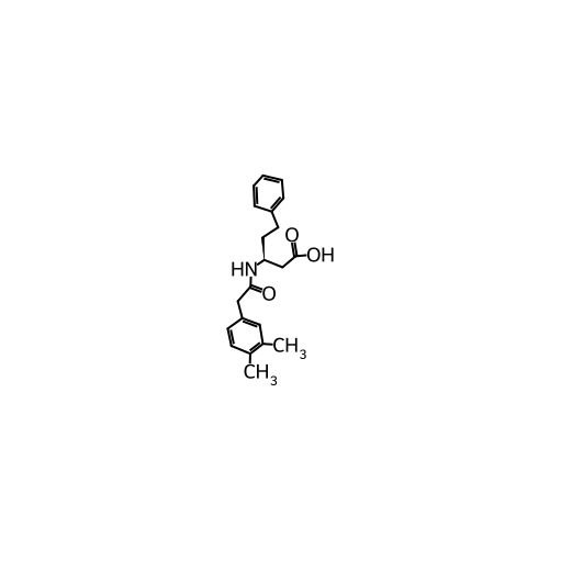 Cc1ccc(CC(=O)N[C@@H](CCc2ccccc2)CC(=O)O)cc1C